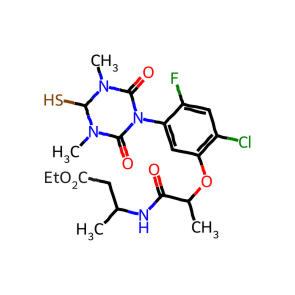 CCOC(=O)CC(C)NC(=O)C(C)Oc1cc(N2C(=O)N(C)C(S)N(C)C2=O)c(F)cc1Cl